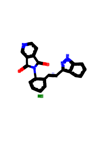 Cl.O=C1c2ccncc2C(=O)N1c1ccccc1/C=C/c1n[nH]c2ccccc12